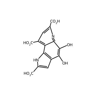 O=C(O)c1cc(C(=O)O)c2c(n1)c(O)c(O)c1cc(C(=O)O)[nH]c12